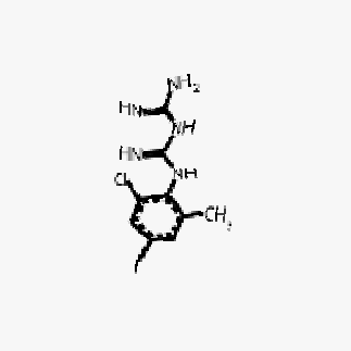 Cc1cc(I)cc(Cl)c1NC(=N)NC(=N)N